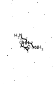 ClCC1CO1.NCCNCCN